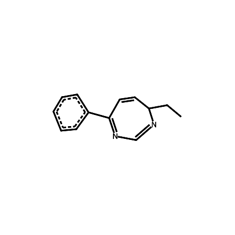 CCC1C=CC(c2ccccc2)=NC=N1